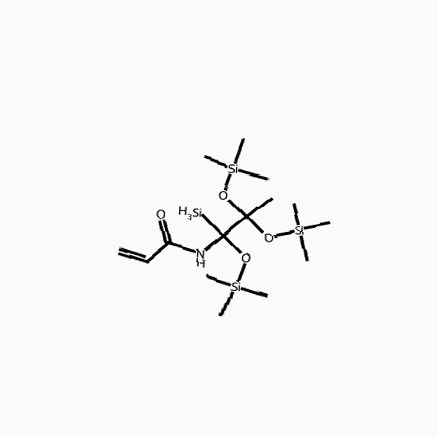 C=CC(=O)NC([SiH3])(O[Si](C)(C)C)C(C)(O[Si](C)(C)C)O[Si](C)(C)C